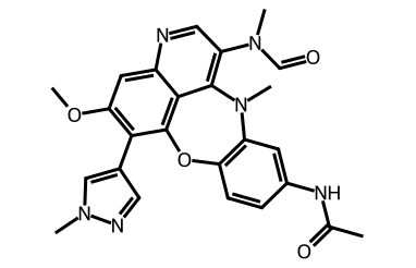 COc1cc2ncc(N(C)C=O)c3c2c(c1-c1cnn(C)c1)Oc1ccc(NC(C)=O)cc1N3C